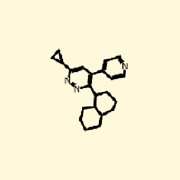 c1cc(-c2cc(C3CC3)nnc2C2CCCC3CCCCC32)ccn1